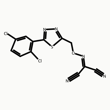 N#CC(C#N)=NOCc1nnc(-c2cc(Cl)ccc2Cl)s1